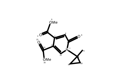 COC(=O)c1cc(=O)n(C2(C)CC2)cc1C(=O)OC